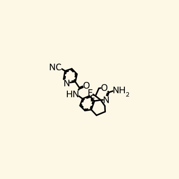 N#Cc1ccc(C(=O)Nc2ccc3c(c2)C2(CCC3)N=C(N)OCC2(F)F)nc1